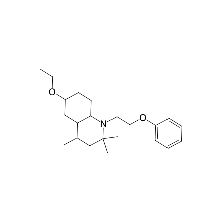 CCOC1CCC2C(C1)C(C)CC(C)(C)N2CCOc1ccccc1